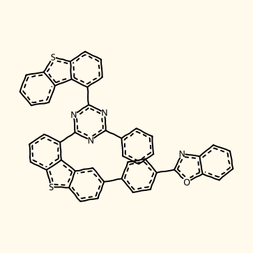 c1ccc(-c2nc(-c3cccc4sc5ccccc5c34)nc(-c3cccc4sc5ccc(-c6ccc(-c7nc8ccccc8o7)cc6)cc5c34)n2)cc1